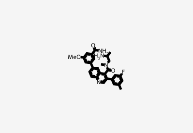 COc1cc(C(N)=O)cc(-c2ccc3ncc(-c4cc(C)cc(F)c4)c(C(=O)N(C)CC(C)N)c3c2)c1